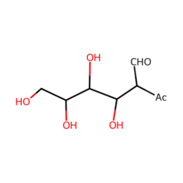 CC(=O)C(C=O)C(O)C(O)C(O)CO